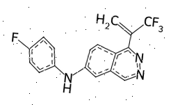 C=C(c1nncc2cc(Nc3ccc(F)cc3)ccc12)C(F)(F)F